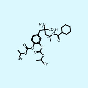 CC(C)C(C)OC(=O)Oc1ccc(CC(N)(C[C@H](C)OC(=O)C2CCCCC2)C(=O)O)cc1OC(=O)OC(C)C(C)C